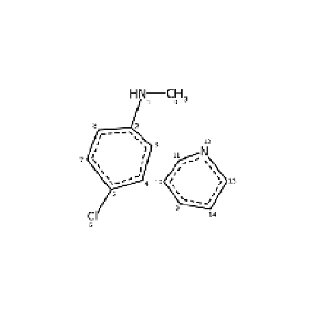 CNc1ccc(Cl)cc1.c1ccncc1